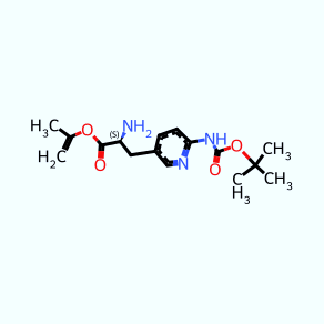 C=C(C)OC(=O)[C@@H](N)Cc1ccc(NC(=O)OC(C)(C)C)nc1